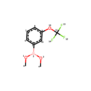 COB(OC)c1cccc(OC(F)(F)F)c1